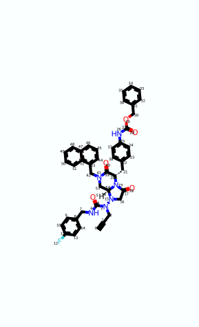 C#CCN(C(=O)NCc1ccc(F)cc1)N1CC(=O)N2[C@@H](Cc3ccc(NC(=O)OCc4ccccc4)cc3)C(=O)N(Cc3cccc4ccccc34)C[C@@H]21